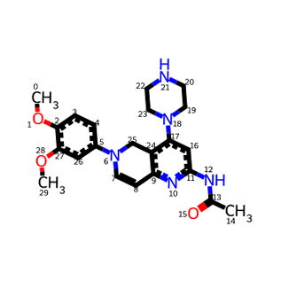 COc1ccc(N2C=Cc3nc(NC(C)=O)cc(N4CCNCC4)c3C2)cc1OC